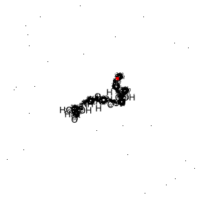 O=C(COc1cccc([C@](O)(C(=O)OCC2CCN(Cc3ccccc3)CC2)c2ccccc2)c1)NC1CCC(NC(=O)c2ccc(CNCC(O)c3ccc(O)c4[nH]c(=O)ccc34)cc2)CC1